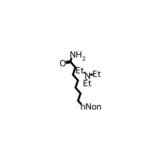 CCCCCCCCCCCCCCCC(N)=O.CCN(CC)CC